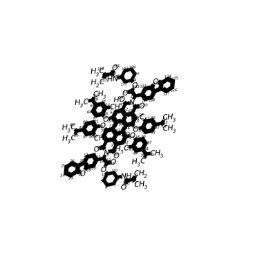 C=C(C)C(=O)NC1CCCC(OC(=O)C(c2ccc3c(c2)oc2ccccc23)N2C(=O)c3cc(Oc4ccc(C(C)C)cc4C)c4c5c(Oc6ccc(C(C)C)cc6C)cc6c7c(cc(Oc8ccc(C(C)C)cc8C)c(c8c(Oc9ccc(C(C)C)cc9C)cc(c3c48)C2=O)c75)C(O)N(C(C(=O)OC2CCCC(NC(=O)C(=C)C)C2)c2ccc3c(c2)oc2ccccc23)C6=O)C1